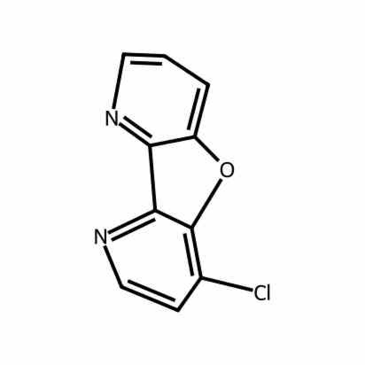 Clc1ccnc2c1oc1cccnc12